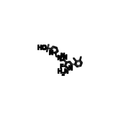 Cc1cccc(-c2cc(-c3cn(Cc4cccc(C(C)(C)O)n4)nn3)c(F)c(N)n2)c1C